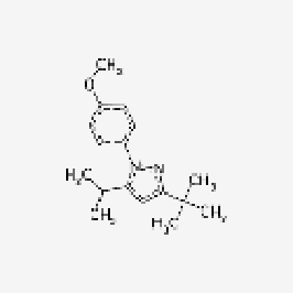 COc1ccc(-n2nc(C(C)(C)C)cc2C(C)C)cc1